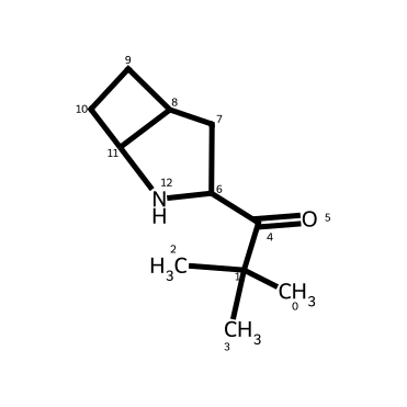 CC(C)(C)C(=O)C1CC2CCC2N1